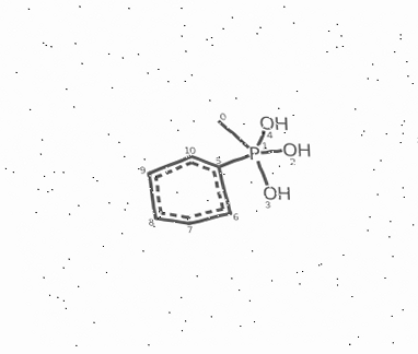 CP(O)(O)(O)c1ccccc1